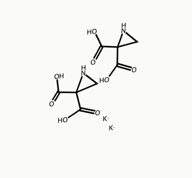 O=C(O)C1(C(=O)O)CN1.O=C(O)C1(C(=O)O)CN1.[K].[K]